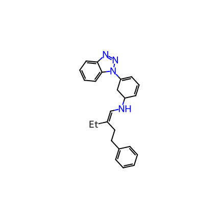 CC/C(=C/NC1C=CC=C(n2nnc3ccccc32)C1)CCc1ccccc1